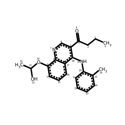 CCCC(=O)c1cnc2c(OC(C)O)cccc2c1Nc1ccccc1C